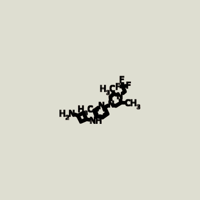 Cc1nc(N2CC(C)N(CC(F)(F)F)C(C)C2)ccc1NC1CC(N)C1